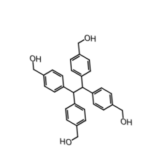 OCc1ccc(C(c2ccc(CO)cc2)C(c2ccc(CO)cc2)c2ccc(CO)cc2)cc1